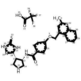 Cc1cc(COc2ccc(C(=O)N[C@@H]3CNC[C@@H]3c3n[nH]c(=S)[nH]3)cc2)c2ccccc2n1.O=C(O)C(F)(F)F